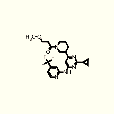 COCCC(=O)N1CCCC(c2cc(Nc3cc(C(F)(F)F)ccn3)nc(C3CC3)n2)C1